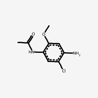 COc1cc(N)c(Cl)cc1NC(C)=O